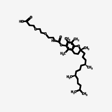 Cc1c(C)c2c(c(C)c1OC(=O)NCCOCCOCCC(=O)O)CC[C@@](C)(CCC[C@H](C)CCC[C@H](C)CCCC(C)C)O2